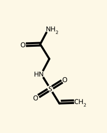 C=CS(=O)(=O)NCC(N)=O